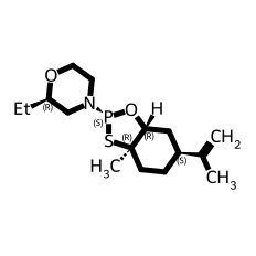 C=C(C)[C@H]1CC[C@@]2(C)S[P@](N3CCO[C@H](CC)C3)O[C@@H]2C1